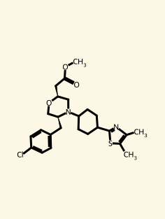 COC(=O)C[C@H]1CN(C2CCC(c3nc(C)c(C)s3)CC2)[C@@H](Cc2ccc(Cl)cc2)CO1